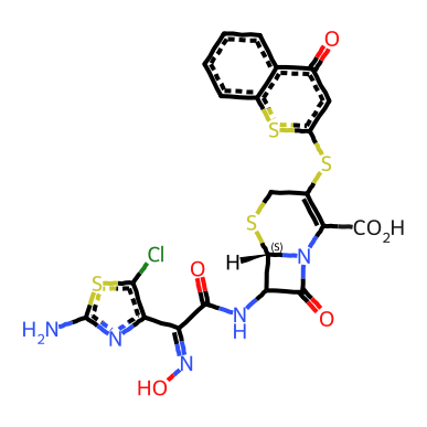 Nc1nc(C(=NO)C(=O)NC2C(=O)N3C(C(=O)O)=C(Sc4cc(=O)c5ccccc5s4)CS[C@@H]23)c(Cl)s1